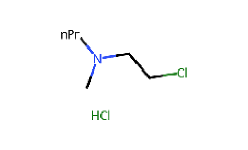 CCCN(C)CCCl.Cl